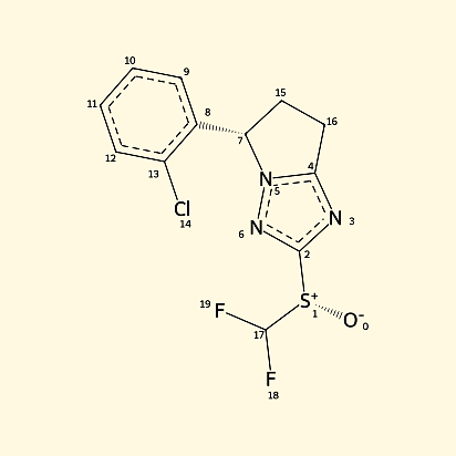 [O-][S@@+](c1nc2n(n1)[C@H](c1ccccc1Cl)CC2)C(F)F